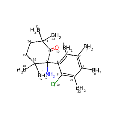 Bc1c(B)c(B)c(C2(N)C(=O)C(B)(B)CCC2(B)B)c(Cl)c1B